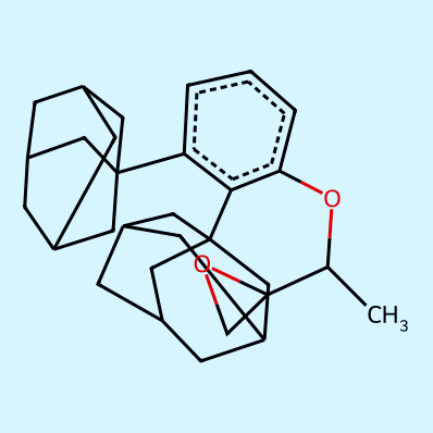 CC(Oc1cccc(C23CC4CC(CC(C4)C2)C3)c1C12CC3CC(CC(C3)C1)C2)C1CO1